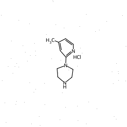 Cc1ccnc(N2CCNCC2)c1.Cl